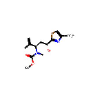 C=C(C)[C@@H](C[C@@H](O)c1nc(C(=O)OCC)cs1)N(C)C(=O)OC(C)(C)C